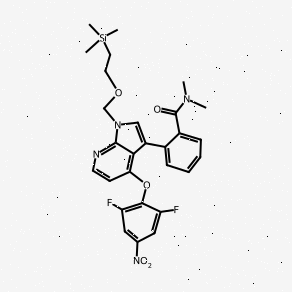 CN(C)C(=O)c1ccccc1-c1cn(COCC[Si](C)(C)C)c2nccc(Oc3c(F)cc([N+](=O)[O-])cc3F)c12